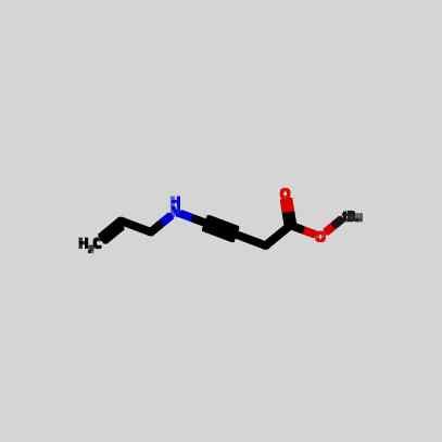 C=CCNC#CCC(=O)OC(C)(C)C